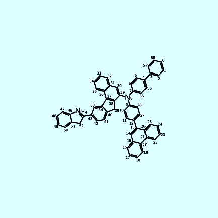 c1ccc(-c2ccc(N(c3ccc(-c4cc5ccccc5c5ccccc45)cc3)c3cc4ccccc4c4c3Cc3ccc(C5=Nc6ccccc6C5)cc3-4)cc2)cc1